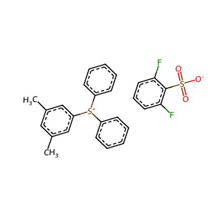 Cc1cc(C)cc([S+](c2ccccc2)c2ccccc2)c1.O=S(=O)([O-])c1c(F)cccc1F